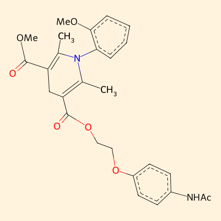 COC(=O)C1=C(C)N(c2ccccc2OC)C(C)=C(C(=O)OCCOc2ccc(NC(C)=O)cc2)C1